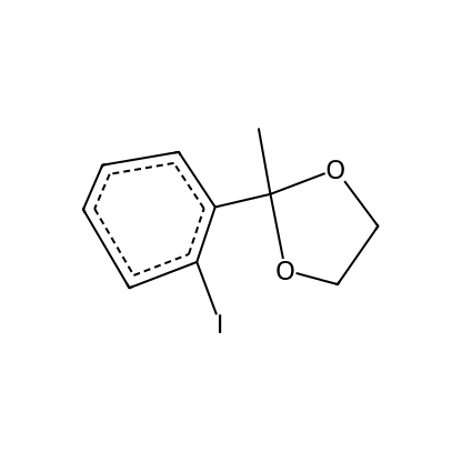 CC1(c2ccccc2I)OCCO1